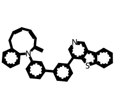 C=C1/C=C\C=C/Cc2ccccc2N1c1cccc(-c2cccc(-c3cncc4c3sc3ccccc34)c2)c1